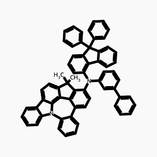 CC1(C)c2ccc3c4ccccc4n4c3c2-c2c(ccc(N(c3cccc(-c5ccccc5)c3)c3cccc5c3-c3ccccc3C5(c3ccccc3)c3ccccc3)c21)-c1ccccc1-4